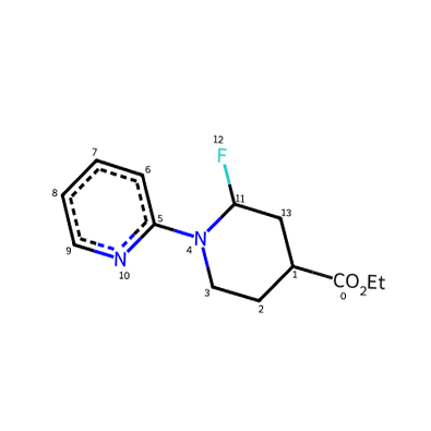 CCOC(=O)C1CCN(c2ccccn2)C(F)C1